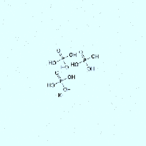 O=P(O)(O)O.O=P(O)(O)O.O=P(O)(O)O.[K]